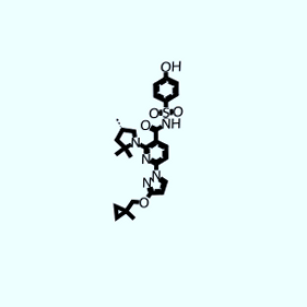 C[C@@H]1CN(c2nc(-n3ccc(OCC4(C)CC4)n3)ccc2C(=O)NS(=O)(=O)c2ccc(O)cc2)C(C)(C)C1